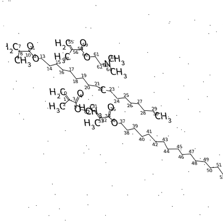 C=C(C)C(=O)OC.C=C(C)C(=O)OCCCCCCCCCCCCCCCCCC.C=C(C)C(=O)OCCCCCCCCCCCCCCCCCC.C=C(C)C(=O)OCCN(C)C